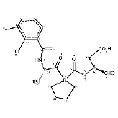 Cc1cccc(C(=O)N[C@H](C(=O)[N+]2(C(=O)N[C@H](C=O)CC(=O)O)CCCC2)C(C)(C)C)c1Cl